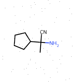 CC(N)(C#N)C1CCCC1